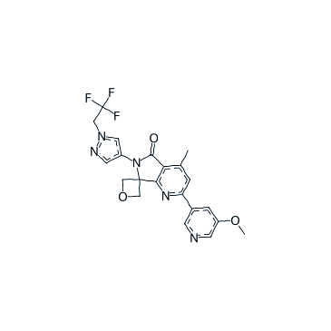 COc1cncc(-c2cc(C)c3c(n2)C2(COC2)N(c2cnn(CC(F)(F)F)c2)C3=O)c1